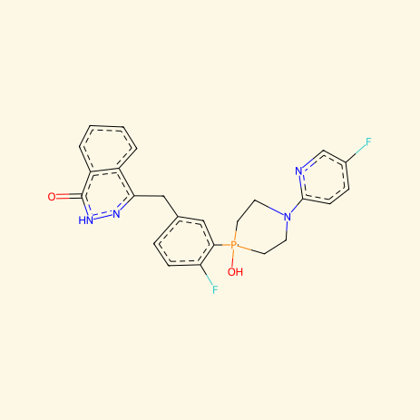 O=c1[nH]nc(Cc2ccc(F)c([P]3(O)CCN(c4ccc(F)cn4)CC3)c2)c2ccccc12